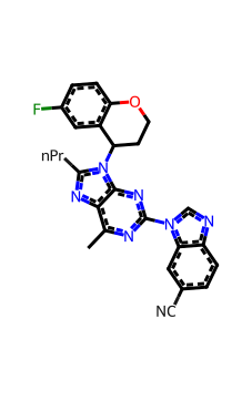 CCCc1nc2c(C)nc(-n3cnc4ccc(C#N)cc43)nc2n1C1CCOc2ccc(F)cc21